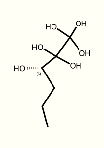 CCC[C@H](O)C(O)(O)C(O)(O)O